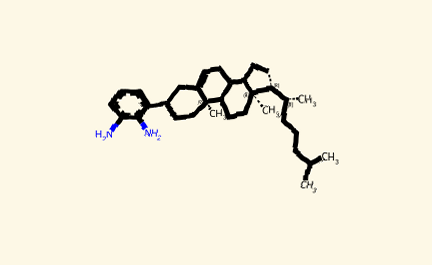 CC(C)CCC[C@@H](C)[C@H]1CCC2C3CC=C4CC(c5cccc(N)c5N)CC[C@]4(C)C3CC[C@@]21C